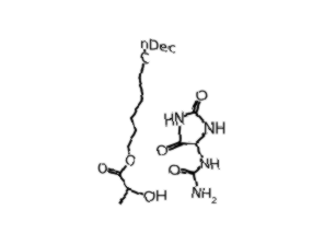 CCCCCCCCCCCCCCCCOC(=O)C(C)O.NC(=O)NC1NC(=O)NC1=O